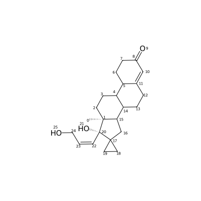 C[C@]12CCC3C4CCC(=O)C=C4CCC3C1CC1(CC1)[C@@]2(O)/C=C\CO